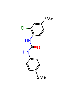 CSc1ccc(NC(=O)Nc2ccc(SC)cc2Cl)cc1